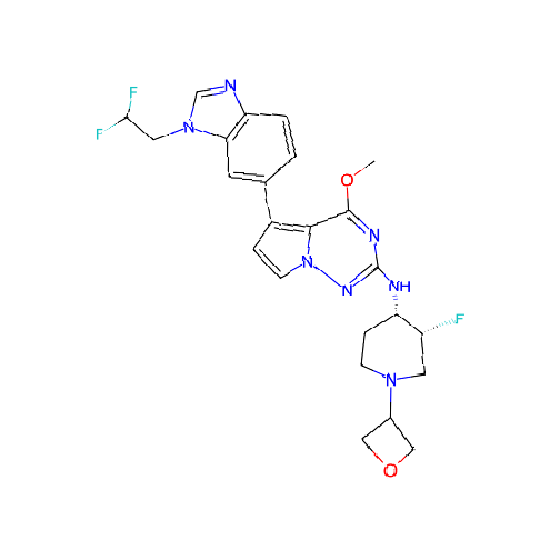 COc1nc(N[C@H]2CCN(C3COC3)C[C@H]2F)nn2ccc(-c3ccc4ncn(CC(F)F)c4c3)c12